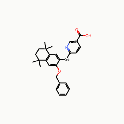 CC1(C)CCC(C)(C)c2cc([Se]c3ccc(C(=O)O)cn3)c(OCc3ccccc3)cc21